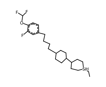 CC[SiH]1CCC(C2CCC(CCCCc3ccc(OC(F)F)c(F)c3)CC2)CC1